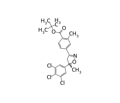 Cc1cc(C2=NO[C@](C)(c3cc(Cl)c(Cl)c(Cl)c3)C2)ccc1C(=O)OC(C)(C)C